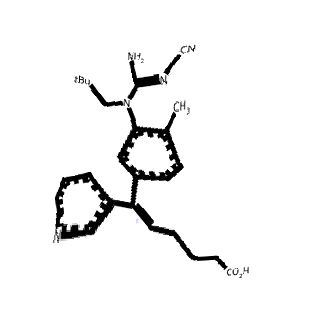 Cc1ccc(/C(=C\CCCC(=O)O)c2cccnc2)cc1N(CC(C)(C)C)C(N)=NC#N